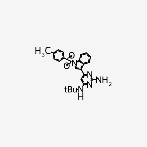 Cc1ccc(S(=O)(=O)n2cc(-c3cc(NC(C)(C)C)nc(N)n3)c3ccccc32)cc1